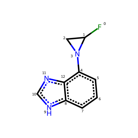 FC1CN1c1cccc2[nH]cnc12